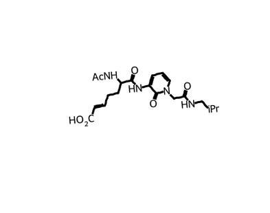 CC(=O)NC(CC/C=C/C(=O)O)C(=O)Nc1cccn(CC(=O)NCC(C)C)c1=O